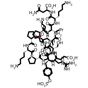 CC(C)C[C@H](NC(=O)[C@@H]1CCCN1C(=O)[C@H](CCCCN)NC(=O)[C@H](CO)NC(=O)[C@H](CCCNC(=N)N)NC(=O)[C@@H]1CCCN1C(=O)[C@H](CCCCN)NC(=O)[C@@H]1CCCN1C(=O)CNC(=O)[C@H](CCC(N)=O)NC(=O)[C@H](Cc1ccc(OS(=O)(=O)O)cc1)NC(=O)[C@@H](N)CC(=O)O)C(=O)N[C@@H](CCCCN)C(=O)N[C@@H](CC(N)=O)C(=O)O